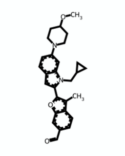 COC1CCN(c2ccc3cc(-c4oc5cc(C=O)ccc5c4C)n(CC4CC4)c3c2)CC1